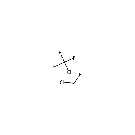 FC(F)(F)Cl.FCCl